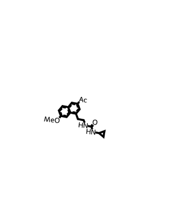 COc1ccc2cc(C(C)=O)cc(CCNC(=O)NC3CC3)c2c1